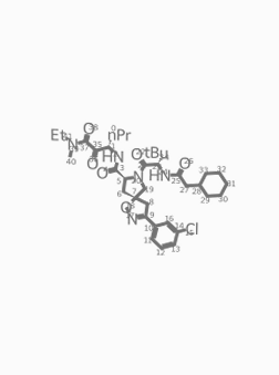 CCC[C@H](NC(=O)[C@@H]1C[C@]2(CC(c3cccc(Cl)c3)=NO2)CN1C(=O)[C@@H](NC(=O)CC1CCCCC1)C(C)(C)C)C(=O)C(=O)N(C)CC